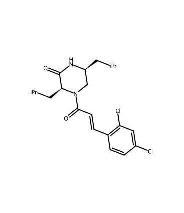 CC(C)C[C@H]1CN(C(=O)/C=C/c2ccc(Cl)cc2Cl)[C@@H](CC(C)C)C(=O)N1